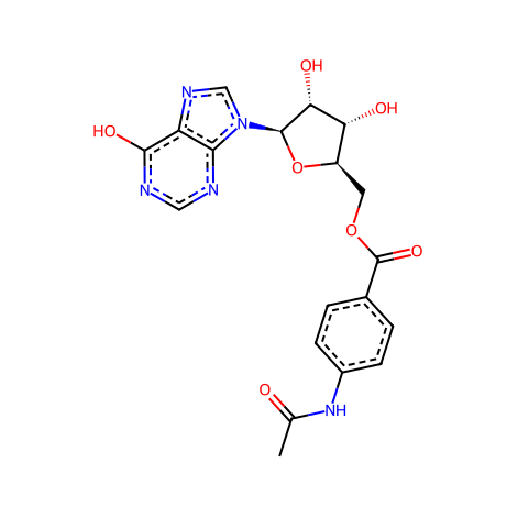 CC(=O)Nc1ccc(C(=O)OC[C@H]2O[C@@H](n3cnc4c(O)ncnc43)[C@H](O)[C@@H]2O)cc1